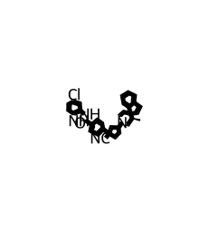 C[C@H]1CN(C2CCC(C#N)(c3ccc(C(=O)Nc4cc(Cl)ccc4N)cc3)C2)CCC12C=Cc1ccccc12